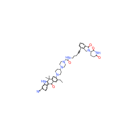 CCc1cc2c(cc1N1CCC(N3CCN(CC(=O)NCCCC#Cc4cccc5c4CN(C4CCC(=O)NC4=O)C5=O)CC3)CC1)C(C)(C)c1[nH]c3cc(C#N)ccc3c1C2=O